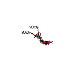 CCCCCCCCC=CCCCCCCCC(=O)OCC(COC(=O)CCCCCCC/C=C\CCCCCCCC)OC(=O)CC(C)CC(=O)OC(C)OC(=O)O[C@H]1CC[C@@]2(C)[C@@H](CC[C@@H]3[C@@H]2CC[C@]2(C)[C@@H](C(C)=O)CC[C@@H]32)C1